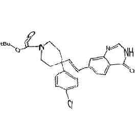 CC(C)(C)OC(=O)N1CCC(C=Cc2ccc3c(=O)[nH]cnc3c2)(c2ccc(Cl)cc2)CC1